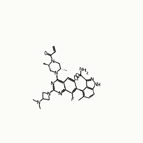 C=CC(=O)N1C[C@H](C)N(c2nc(N3CC(N(C)C)C3)nc3c(F)c(-c4c(C)ccc5[nH]nc(C(N)=O)c45)c(Cl)cc23)C[C@H]1C